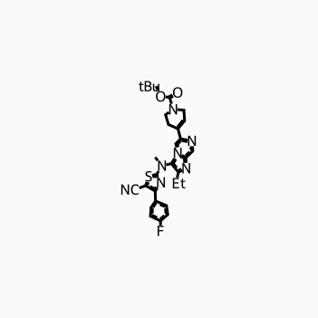 CCc1nc2cnc(C3=CCN(C(=O)OC(C)(C)C)CC3)cn2c1N(C)c1nc(-c2ccc(F)cc2)c(C#N)s1